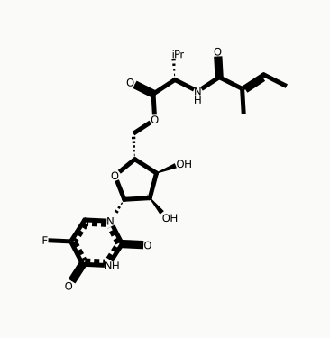 C/C=C(\C)C(=O)N[C@H](C(=O)OC[C@H]1O[C@@H](n2cc(F)c(=O)[nH]c2=O)[C@H](O)[C@@H]1O)C(C)C